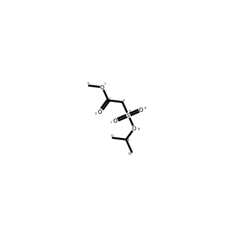 COC(=O)CS(=O)(=O)OC(C)C